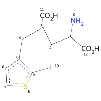 NC(CC(Cc1ccsc1I)C(=O)O)C(=O)O